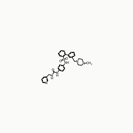 CN1CCN(Cc2cccc(-c3ccccc3S(=O)(=O)Nc3ccc(NC(=O)NCc4cccnc4)cc3)c2)CC1